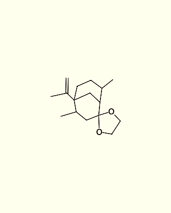 C=C(C)C12CCC(C)C(C1)C1(CC2C)OCCO1